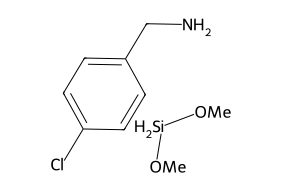 CO[SiH2]OC.NCc1ccc(Cl)cc1